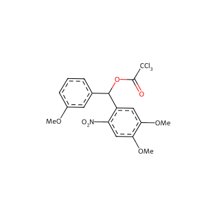 COc1cccc(C(OC(=O)C(Cl)(Cl)Cl)c2cc(OC)c(OC)cc2[N+](=O)[O-])c1